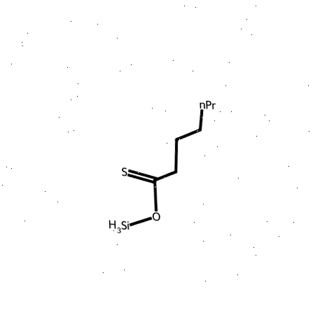 CCCCCCC(=S)O[SiH3]